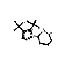 CC(C)(C)c1cnn(C2CCCCO2)c1C(C)(C)C